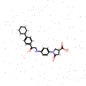 O=C(CNc1ccc(N2CC(C(=O)O)CC2=O)cc1)c1ccc(C2CCCCC2)cc1